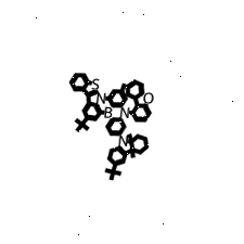 Cc1cc2c3c(c1)-n1c4sc5ccccc5c4c4cc(C(C)(C)C)cc(c41)B3C1=CC=C(N3C4=C(C=C(C(C)(C)C)CC4)C4(C)CCCCC34C)CC1N2C1C=CC=C2OC3=CC=CCC3C21